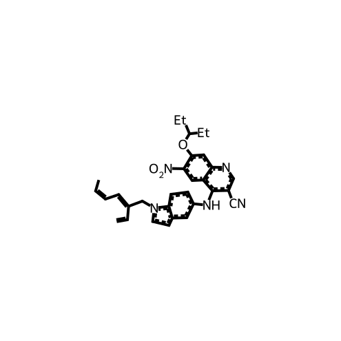 C=C/C(=C\C=C/C)Cn1ccc2cc(Nc3c(C#N)cnc4cc(OC(CC)CC)c([N+](=O)[O-])cc34)ccc21